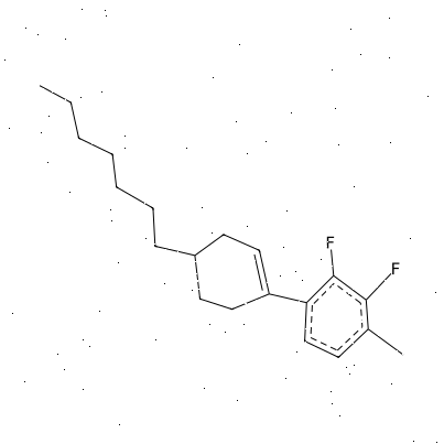 CCCCCCCC1CC=C(c2ccc(C)c(F)c2F)CC1